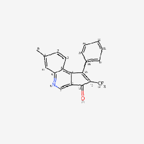 Cc1ccc2c3c(cnc2c1)C(=O)C(C(F)(F)F)=C3c1ccccc1